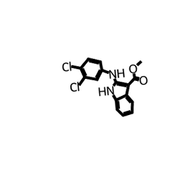 COC(=O)c1c(Nc2ccc(Cl)c(Cl)c2)[nH]c2ccccc12